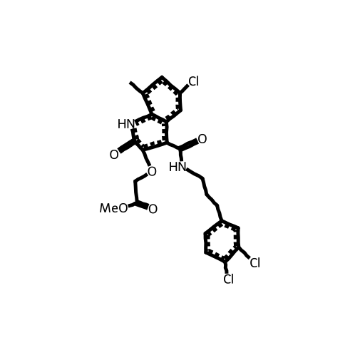 COC(=O)COc1c(C(=O)NCCCc2ccc(Cl)c(Cl)c2)c2cc(Cl)cc(C)c2[nH]c1=O